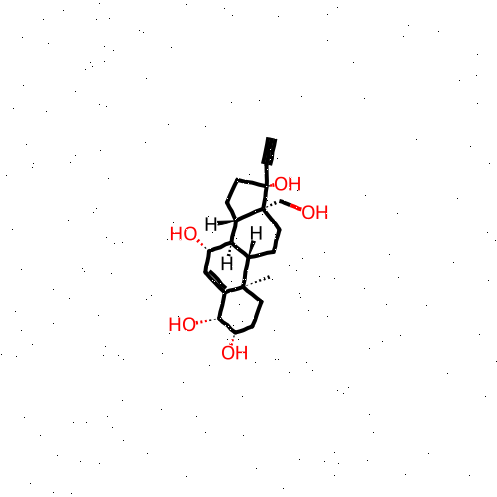 C#C[C@]1(O)CC[C@H]2[C@@H]3[C@@H](O)C=C4[C@@H](O)[C@@H](O)CC[C@]4(C)[C@H]3CC[C@@]21CO